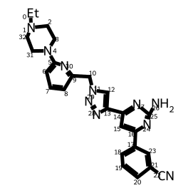 CCN1CCN(c2cccc(Cn3cc(-c4cc(-c5cccc(C#N)c5)nc(N)n4)nn3)n2)CC1